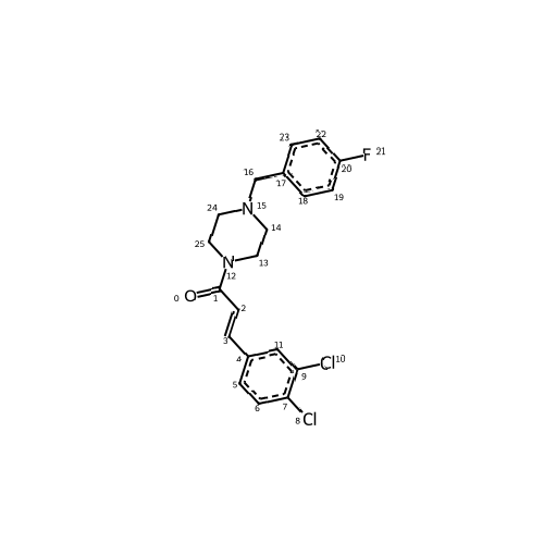 O=C(/C=C/c1ccc(Cl)c(Cl)c1)N1CCN(Cc2ccc(F)cc2)CC1